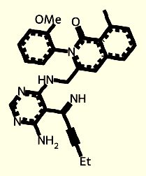 CCC#CC(=N)c1c(N)ncnc1NCc1cc2cccc(C)c2c(=O)n1-c1ccccc1OC